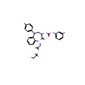 CCC(C)(C)NC(=O)CN1C(=O)C(NC(=O)Nc2cccc(C)c2)CC(c2ccc(C)cc2)c2ccccc21